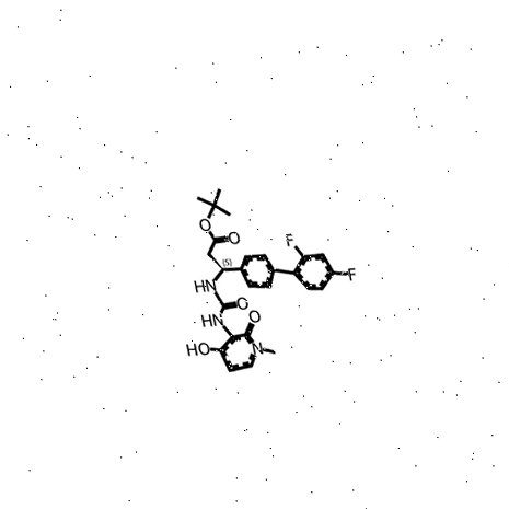 Cn1ccc(O)c(NC(=O)N[C@@H](CC(=O)OC(C)(C)C)c2ccc(-c3ccc(F)cc3F)cc2)c1=O